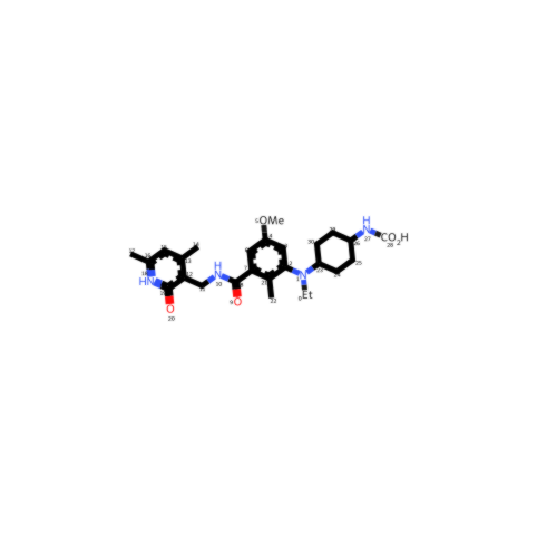 CCN(c1cc(OC)cc(C(=O)NCc2c(C)cc(C)[nH]c2=O)c1C)C1CCC(NC(=O)O)CC1